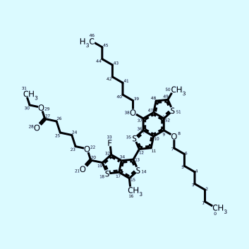 CCCCCCCCOc1c2cc(-c3sc(C)c4sc(C(=O)OCCCCC(=O)OCC)c(F)c34)sc2c(OCCCCCCCC)c2cc(C)sc12